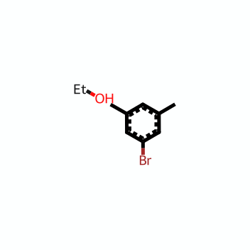 CCO.Cc1cc(C)cc(Br)c1